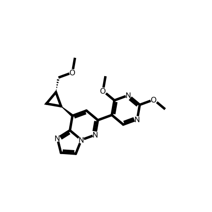 COC[C@H]1C[C@@H]1c1cc(-c2cnc(OC)nc2OC)nn2ccnc12